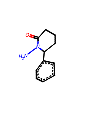 NN1C(=O)CCCC1c1ccccc1